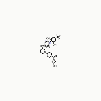 C=C(/C=C(C)\C(=N/C)c1ccc(C(F)(F)F)cc1O)NC1CCCN(C2CCN(C(=O)N3CC(O)C3)CC2)C1